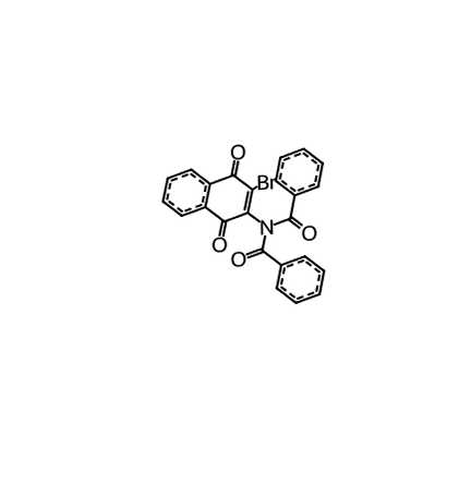 O=C1C(Br)=C(N(C(=O)c2ccccc2)C(=O)c2ccccc2)C(=O)c2ccccc21